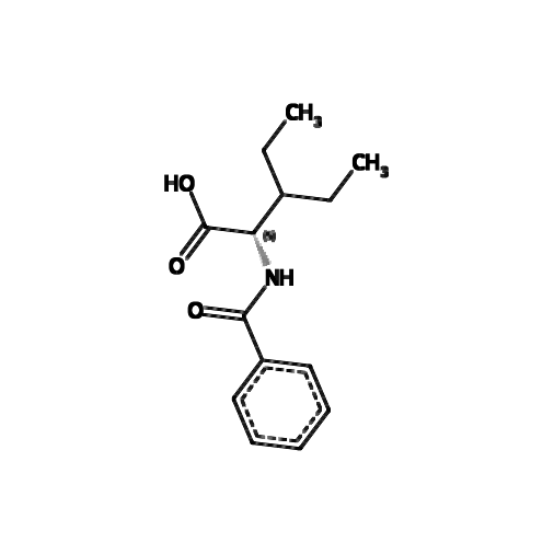 CCC(CC)[C@H](NC(=O)c1ccccc1)C(=O)O